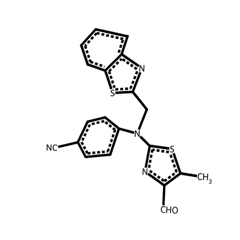 Cc1sc(N(Cc2nc3ccccc3s2)c2ccc(C#N)cc2)nc1C=O